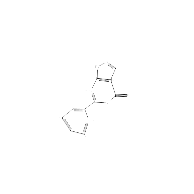 O=c1[nH]c(-c2ccccn2)nc2[nH]ncc12